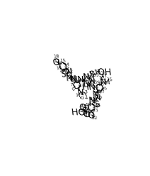 CCN(CC)c1ccc(/N=N/c2nc3ccc(OC)cc3s2)c(Nc2nc(Nc3cc(N(CC)CC)ccc3/N=N/c3nc4cc(S(=O)(=O)O)c(OC)cc4s3)nc(SCCO)n2)c1